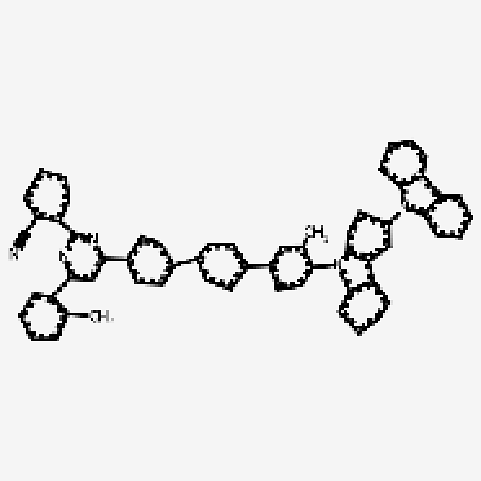 Cc1ccccc1-c1cc(-c2ccc(-c3ccc(-c4ccc(-n5c6ccccc6c6cc(-n7c8ccccc8c8ccccc87)ccc65)c(C)c4)cc3)cc2)nc(-c2ccccc2C#N)n1